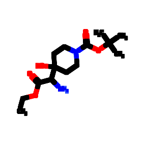 CCOC(=O)C(N)C1(O)CCN(C(=O)OC(C)(C)C)CC1